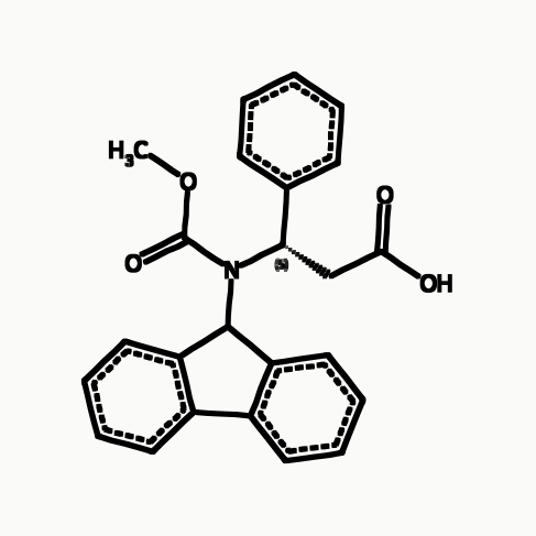 COC(=O)N(C1c2ccccc2-c2ccccc21)[C@@H](CC(=O)O)c1ccccc1